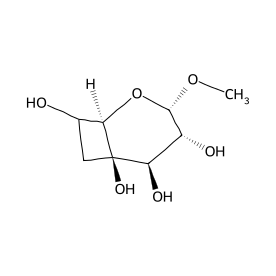 CO[C@H]1O[C@@H]2C(O)C[C@@]2(O)[C@H](O)[C@H]1O